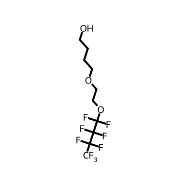 OCCCCOCCOC(F)(F)C(F)(F)C(F)(F)C(F)(F)F